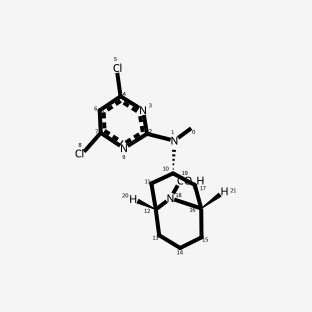 CN(c1nc(Cl)cc(Cl)n1)[C@H]1C[C@H]2CCC[C@@H](C1)N2C(=O)O